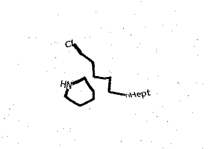 C1CCNCC1.CCCCCCCCCCCCCl